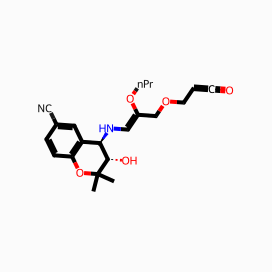 CCCOC(=CN[C@@H]1c2cc(C#N)ccc2OC(C)(C)[C@H]1O)COCC=C=O